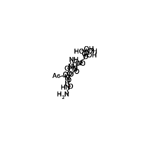 CC(=O)CCCC(=O)NC(COCCC(=O)NCCCN)(COCCC(=O)NCCCN)COCCC(=O)NCCCNC(=O)CCCO[C@@H]1OC(CO)[C@@H](O)C(O)C1O